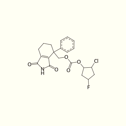 O=C(OCC1(c2ccccc2)CCCC2=C1C(=O)NC2=O)OC1CC(F)CC1Cl